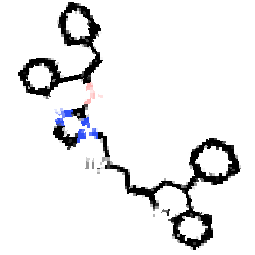 CC(=CC[SiH2]Cn1ccnc1BC(=Cc1ccccc1)c1ccccc1)CC(c1ccccc1)c1ccccc1